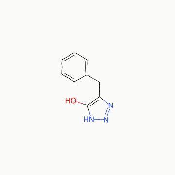 Oc1[nH]nnc1Cc1ccccc1